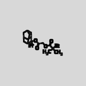 CCC(C)(C)C(=O)OCC(=O)OC1(C(C)C)C2CC3CC(C2)CC1C3